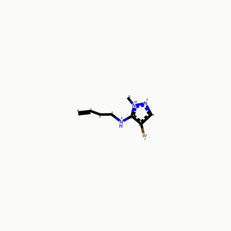 C=CCCNc1c(Br)cnn1C